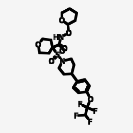 O=C(NOC1CCCCO1)C1(S(=O)(=O)N2CCC(c3ccc(OC(F)(F)C(F)F)cc3)CC2)CCOCC1